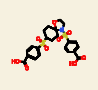 O=C(O)c1ccc(S(=O)(=O)C2CCC3(CC2)OCCN3S(=O)(=O)c2ccc(C(=O)O)cc2)cc1